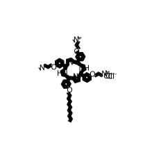 CCCCCCCCCCCOc1cccc(-c2c3nc(c(-c4cccc(OCCC[N+](C)(C)C)c4)c4ccc([nH]4)c(-c4cccc(OCCC[N+](C)(C)C)c4)c4nc(c(-c5cccc(OCCC[N+](C)(C)C)c5)c5ccc2[nH]5)C=C4)C=C3)c1.[Cl-].[Cl-].[Cl-]